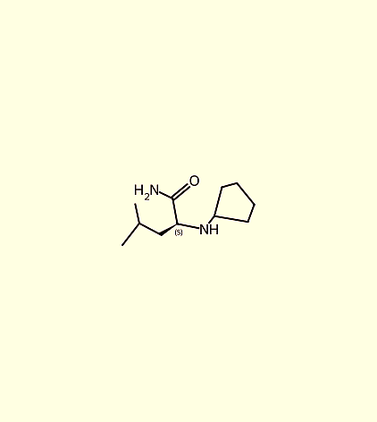 CC(C)C[C@H](NC1CCCC1)C(N)=O